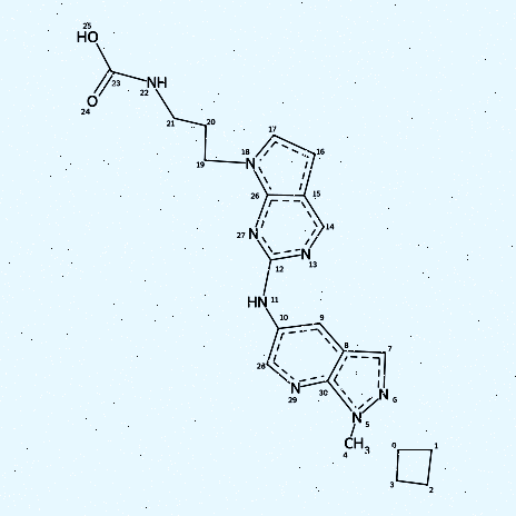 C1CCC1.Cn1ncc2cc(Nc3ncc4ccn(CCCNC(=O)O)c4n3)cnc21